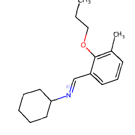 CCCOc1c(C)cccc1/C=N/C1CCCCC1